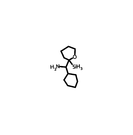 NC(C1CCCCC1)C1([SiH3])CCCCO1